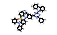 N#Cc1cc(-c2nc(-c3ccccc3)nc(-n3c4ccccc4c4ccccc43)n2)ccc1N1c2ccccc2[S+]([O-])c2c1ccc1c3ccccc3n(-c3ccccc3)c21